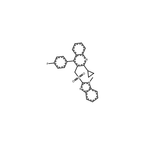 Cn1c(S(=O)(=O)Cc2c(C3CC3)nc3ccccc3c2-c2ccc(F)cc2)nc2ccccc21